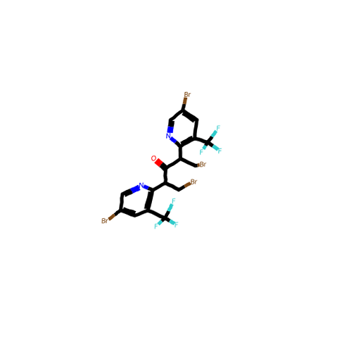 O=C(C(CBr)c1ncc(Br)cc1C(F)(F)F)C(CBr)c1ncc(Br)cc1C(F)(F)F